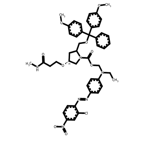 CCN(COC(=O)N1C[C@H](OCCC(=O)NC)CC1COC(c1ccccc1)(c1ccc(OC)cc1)c1ccc(OC)cc1)c1ccc(N=Nc2ccc([N+](=O)[O-])cc2Cl)cc1